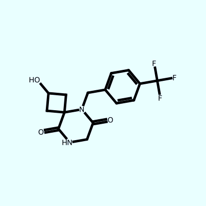 O=C1CNC(=O)C2(CC(O)C2)N1Cc1ccc(C(F)(F)F)cc1